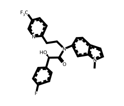 Cn1ccc2ccc(N(CCc3ccc(C(F)(F)F)cn3)C(=O)[C@H](O)c3ccc(F)cc3)cc21